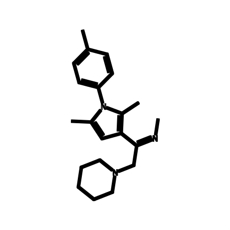 C/N=C(/CN1CCCCC1)c1cc(C)n(-c2ccc(C)cc2)c1C